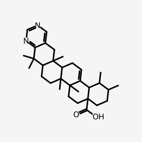 CC1CCC2(C(=O)O)CCC3(C)C(=CCC4C5(C)Cc6cncnc6C(C)(C)C5CCC43C)C2C1C